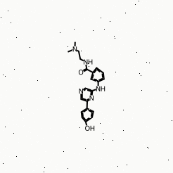 CN(C)CCNC(=O)c1cccc(Nc2cncc(-c3ccc(O)cc3)n2)c1